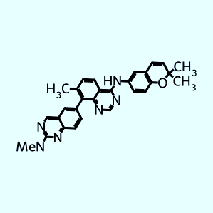 CNc1ncc2cc(-c3c(C)ccc4c(Nc5ccc6c(c5)C=CC(C)(C)O6)ncnc34)ccc2n1